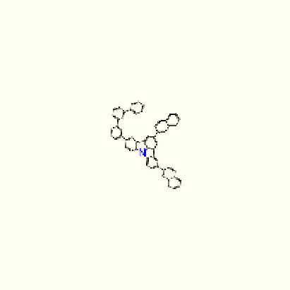 c1ccc(-c2cccc(-c3cccc(-c4ccc5c(c4)c4cc(-c6ccc7ccccc7c6)cc6c7cc(-c8ccc9ccccc9c8)ccc7n5c46)c3)c2)cc1